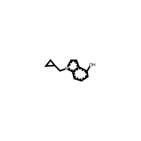 Oc1cccc2c1ccn2CC1CC1